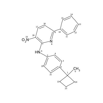 CC1(c2ccc(Nc3nc(-c4ccccc4)ccc3[N+](=O)[O-])cc2)CCC1